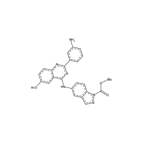 CC(=O)Oc1ccc2nc(-c3cccc(N)c3)nc(Nc3ccc4c(cnn4C(=O)OC(C)(C)C)c3)c2c1